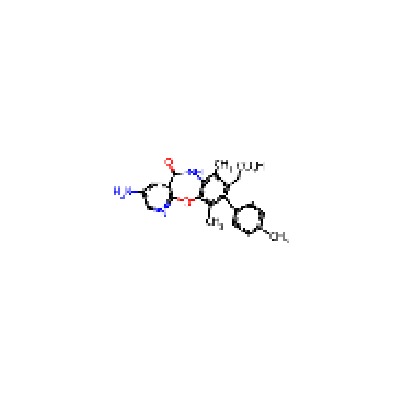 Cc1ccc(-c2c(C)c3c(c(C)c2CC(=O)O)NC(=O)c2cc(N)cnc2O3)cc1